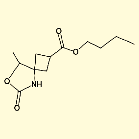 CCCCOC(=O)C1CC2(C1)NC(=O)OC2C